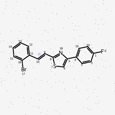 Fc1ccc(-c2csc(/C=C/c3ccccc3Br)n2)cc1